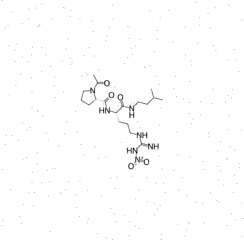 CC(=O)N1CCC[C@H]1C(=O)N[C@@H](CCCNC(=N)N[N+](=O)[O-])C(=O)NCCC(C)C